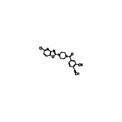 C#Cc1ccc(C(=O)N2CCN(c3nc4nc(Cl)ccc4o3)CC2)cc1C#N